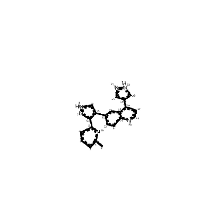 Cc1cccc(-c2n[nH]cc2-c2ccc3nccc(-c4cn[nH]c4)c3c2)n1